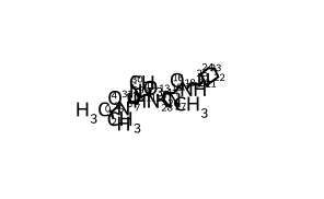 CC(C)C(=O)Nc1cc(C(=O)Nc2cc(C(=O)NCCN3CCCCC3)n(C)c2)n(C)c1